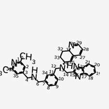 Cc1cc(CNCc2cccc(CN(Cc3nc4ccccc4[nH]3)C3C=C4C=CC=NC4CC3)c2)cc(C)n1